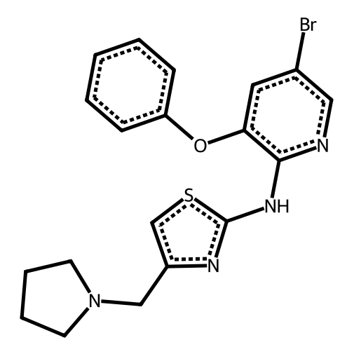 Brc1cnc(Nc2nc(CN3CCCC3)cs2)c(Oc2ccccc2)c1